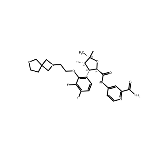 C[C@H]1[C@@H](c2ccc(F)c(F)c2OCCN2CC3(CCOC3)C2)[C@H](C(=O)Nc2ccnc(C(N)=O)c2)O[C@@]1(C)C(F)(F)F